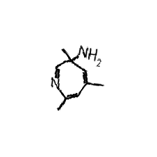 CC1=CC(C)(N)C=NC(C)=C1